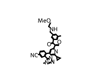 COCCNCc1cc(C)c2occ(-c3cc(-c4ccc(C#N)cc4-c4nncn4C)cc(C4CC4)n3)c(=O)c2c1